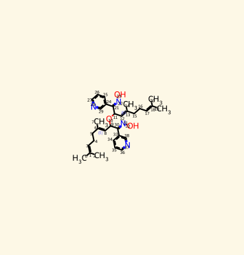 CC(C)=CCC/C(C)=C/C(OC(/C=C(\C)CCC=C(C)C)C(=NO)c1cccnc1)C(=NO)c1cccnc1